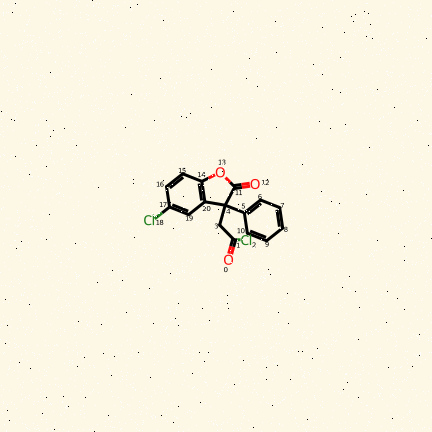 O=C(Cl)CC1(c2ccccc2)C(=O)Oc2ccc(Cl)cc21